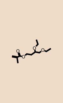 C=C(C)C(=O)OCCC(COCC)OCC